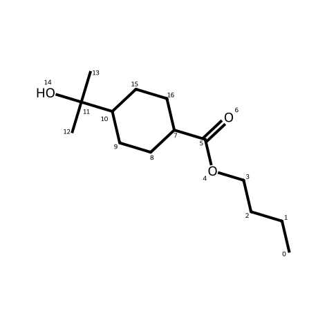 CCCCOC(=O)C1CCC(C(C)(C)O)CC1